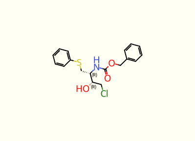 O=C(N[C@@H](CSc1ccccc1)[C@@H](O)CCl)OCc1ccccc1